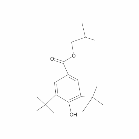 CC(C)COC(=O)c1cc(C(C)(C)C)c(O)c(C(C)(C)C)c1